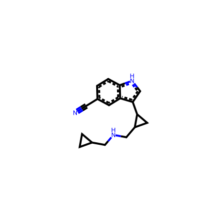 N#Cc1ccc2[nH]cc(C3CC3CNCC3CC3)c2c1